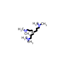 CN(C)CC[CH2][Al]([CH2]CCN(C)C)[CH2]CCN(C)C